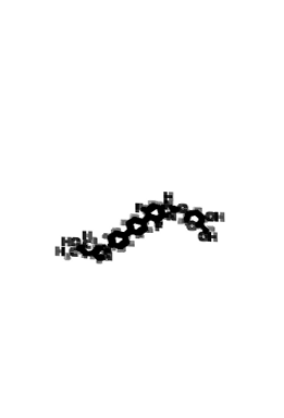 CC(C)(O)Cc1cnn(-c2ccc(-c3ccc(-c4c(F)cc5[nH]c(O[C@H]6CO[C@H](CO)[C@@H](O)C6)nc5c4F)cc3)cc2)c1